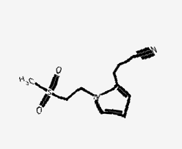 CS(=O)(=O)CCn1cccc1CC#N